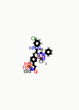 CC(C)(C)N1C(=O)CC(c2ccc(C[C@@H](c3nc4ccc(Cl)cc4[nH]3)N(OC(=O)C(F)(F)F)C(=S)Nc3ccccc3)cc2)S1(O)O